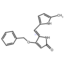 Cc1ccc(/C=C2\NC(=O)C=C2OCc2ccccc2)[nH]1